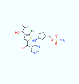 CC(C)C(O)c1cc(C(=O)c2cncnc2N[C@H]2CC[C@@H](COS(N)(=O)=O)C2)sc1Cl